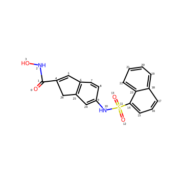 O=C(NO)C1=Cc2ccc(NS(=O)(=O)c3cccc4ccccc34)cc2C1